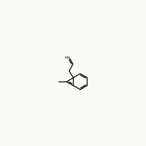 CC1=C2C=CC=CC12CC=N